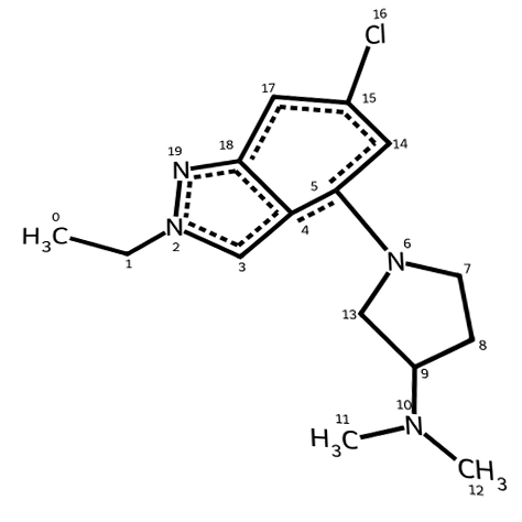 CCn1cc2c(N3CCC(N(C)C)C3)cc(Cl)cc2n1